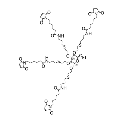 CCO[C@H]1O[C@H](COCCSCCCNC(=O)CCCCCN2C(=O)C=CC2=O)[C@H](OCCSCCCNC(=O)CCCCCN2C(=O)C=CC2=O)[C@H](OCCSCCCNC(=O)CCCCCN2C(=O)C=CC2=O)[C@H]1OCCSCCCNC(=O)CCCCCN1C(=O)C=CC1=O